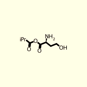 CC(C)C(=O)OC(=O)[C@@H](N)CCO